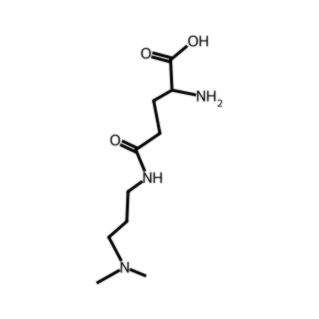 CN(C)CCCNC(=O)CCC(N)C(=O)O